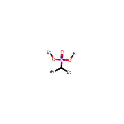 CCCC(CC)P(=O)(OCC)OCC